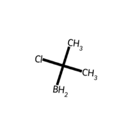 BC(C)(C)Cl